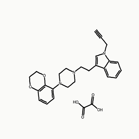 C#CCn1cc(CCN2CCN(c3cccc4c3OCCO4)CC2)c2ccccc21.O=C(O)C(=O)O